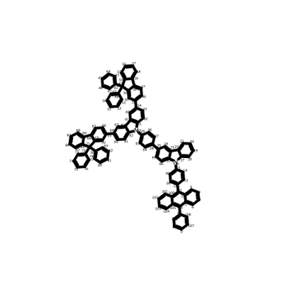 c1ccc(-c2c3ccccc3c(-c3ccc(-n4c5ccccc5c5cc(-c6ccc(-n7c8ccc(-c9ccc%10c(c9)C(c9ccccc9)(c9ccccc9)c9ccccc9-%10)cc8c8cc(-c9ccc%10c(c9)C(c9ccccc9)(c9ccccc9)c9ccccc9-%10)ccc87)cc6)ccc54)cc3)c3ccccc23)cc1